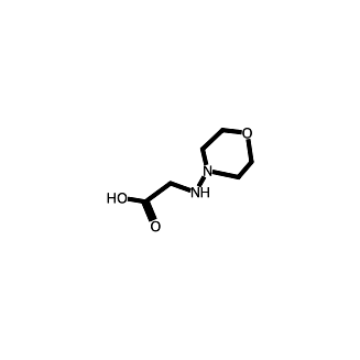 O=C(O)CNN1CCOCC1